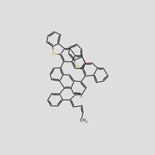 C/C=C\C=C(/C)c1ccccc1-c1c2cccc(-c3c4ccccc4cc4c3sc3ccccc34)c2cc2c(-c3c4ccccc4cc4c3sc3ccccc34)cccc12